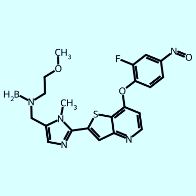 BN(CCOC)Cc1cnc(-c2cc3nccc(Oc4ccc(N=O)cc4F)c3s2)n1C